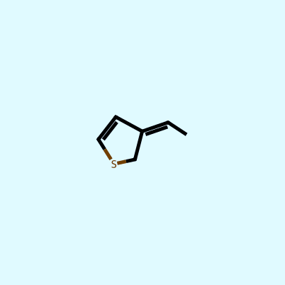 CC=C1C=CSC1